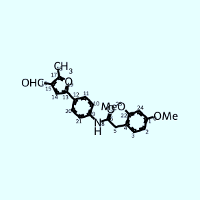 COc1ccc(CC(=O)Nc2ccc(-c3cc(C=O)c(C)o3)cc2)c(OC)c1